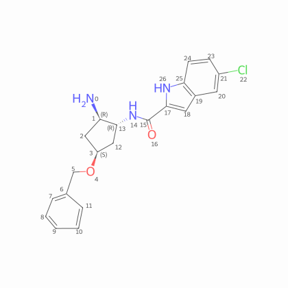 N[C@@H]1C[C@H](OCc2ccccc2)C[C@H]1NC(=O)c1cc2cc(Cl)ccc2[nH]1